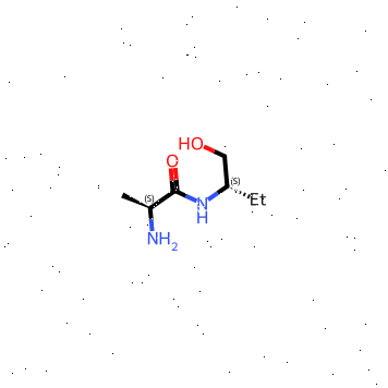 CC[C@@H](CO)NC(=O)[C@H](C)N